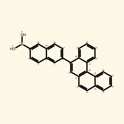 OB(O)c1ccc2cc(-c3cc4ccc5ccccc5c4c4ccccc34)ccc2c1